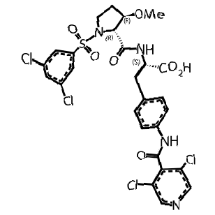 CO[C@@H]1CCN(S(=O)(=O)c2cc(Cl)cc(Cl)c2)[C@H]1C(=O)N[C@@H](Cc1ccc(NC(=O)c2c(Cl)cncc2Cl)cc1)C(=O)O